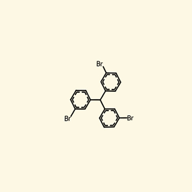 Brc1cccc(C(c2cccc(Br)c2)c2cccc(Br)c2)c1